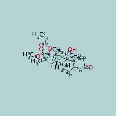 CCC(=O)O[C@]1(C(=O)OC)[C@@H](C)C[C@H]2[C@@H]3C[C@H](F)C4=CC(=O)C=C[C@]4(C)[C@@]3(Cl)[C@@H](O)C[C@@]21C